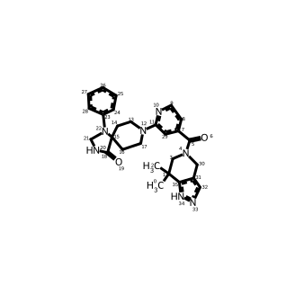 CC1(C)CN(C(=O)c2ccnc(N3CCC4(CC3)C(=O)NCN4c3ccccc3)c2)Cc2cn[nH]c21